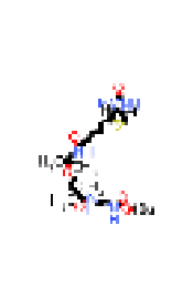 CC(C)(C)OC(=O)NCCNC(=O)C(C)(C)CCOC(C)(C)CNC(=O)CCCC[C@@H]1SC[C@@H]2NC(=O)N[C@@H]21